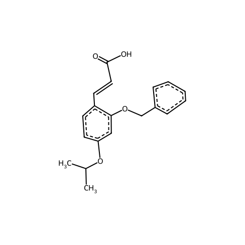 CC(C)Oc1ccc(C=CC(=O)O)c(OCc2ccccc2)c1